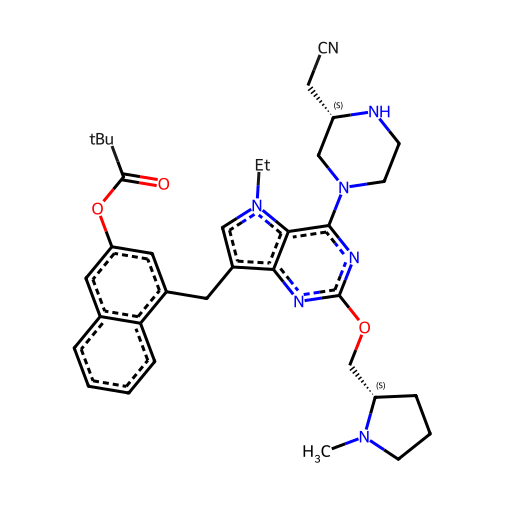 CCn1cc(Cc2cc(OC(=O)C(C)(C)C)cc3ccccc23)c2nc(OC[C@@H]3CCCN3C)nc(N3CCN[C@@H](CC#N)C3)c21